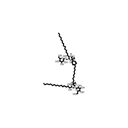 CCCCCCCCCCCCCC[C@@H](O)[C@@H](O)[C@H](COC1OC(CO)C(O)C(O)C1O)NC1(CCCCCCCCCCc2ccc(C3(N[C@@H](COC4OC(CO)C(O)C(O)C4O)[C@H](O)[C@H](O)CCCCCCCCCCCCCC)COC3)cc2)COC1